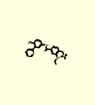 CCOc1cc(C(=O)Nc2ccc(Cl)c(-c3ccccn3)c2)ccc1CS(C)(=O)=O